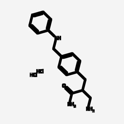 Cl.Cl.NCC(Cc1ccc(CNc2ccccc2)cc1)C(N)=O